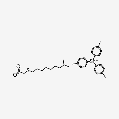 CC(C)CCCCCCCSCC(=O)[O-].Cc1cc[c]([Sn+]([c]2ccc(C)cc2)[c]2ccc(C)cc2)cc1